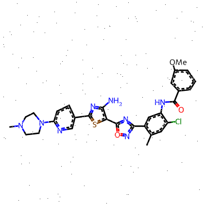 COc1cccc(C(=O)Nc2cc(-c3noc(-c4sc(-c5ccc(N6CCN(C)CC6)nc5)nc4N)n3)c(C)cc2Cl)c1